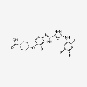 O=C(O)C1CCC(Oc2ccc3nc(-c4nnc(Nc5cc(F)c(F)cc5F)o4)[nH]c3c2F)CC1